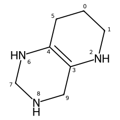 C1CNC2=C(C1)NCNC2